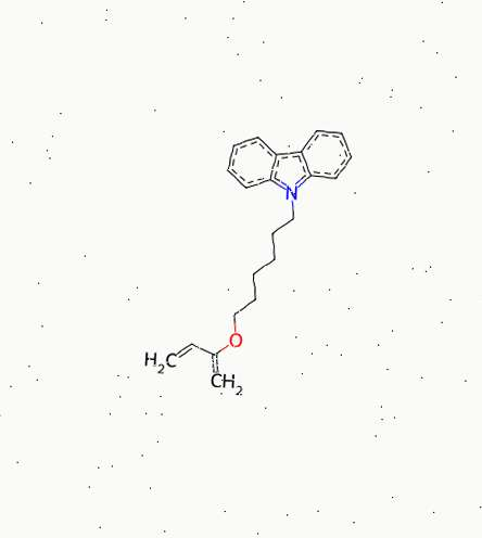 C=CC(=C)OCCCCCCn1c2ccccc2c2ccccc21